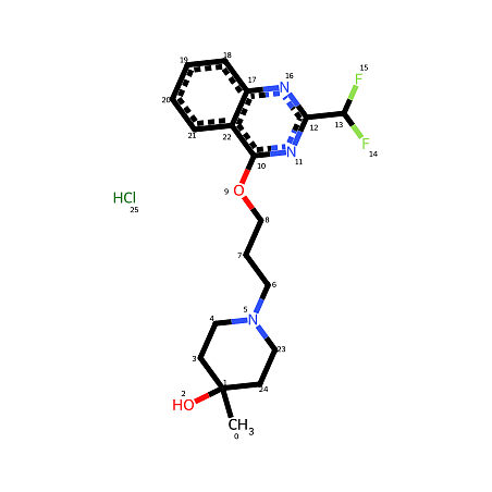 CC1(O)CCN(CCCOc2nc(C(F)F)nc3ccccc23)CC1.Cl